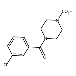 O=C(O)N1CCN(C(=O)c2cccc(Cl)c2)CC1